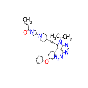 C/C=C/C(=O)N1CC(N2CCC(C#Cc3c(-c4ccc(Oc5ccccc5)cc4)c4c(N)ncnc4n3C(C)C)CC2)C1